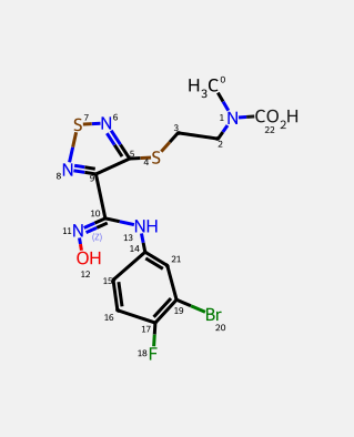 CN(CCSc1nsnc1/C(=N/O)Nc1ccc(F)c(Br)c1)C(=O)O